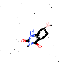 CBc1ccc2c(=O)n(C)c(=O)[nH]c2c1